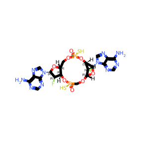 Nc1ncnc2c1ncn2[C@@H]1O[C@@H]2CO[P@@](=O)(S)O[C@@H]3[C@H](F)[C@@H](OC[P@@](=O)(S)O[C@H]2[C@H]1F)O[C@H]3n1cnc2c(N)ncnc21